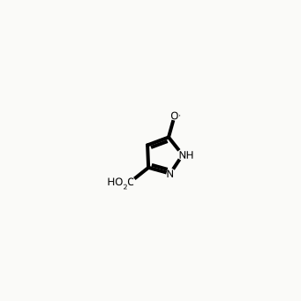 [O]c1cc(C(=O)O)n[nH]1